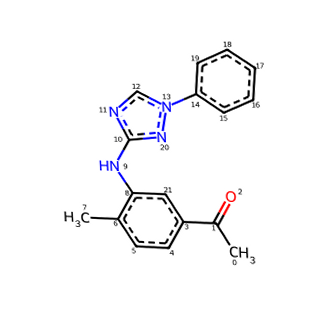 CC(=O)c1ccc(C)c(Nc2ncn(-c3ccccc3)n2)c1